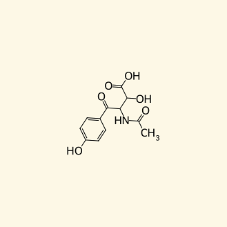 CC(=O)NC(C(=O)c1ccc(O)cc1)C(O)C(=O)O